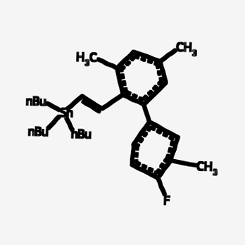 CCC[CH2][Sn](/[CH]=C/c1c(C)cc(C)cc1-c1ccc(F)c(C)c1)([CH2]CCC)[CH2]CCC